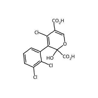 O=C(O)C1=COC(O)(C(=O)O)C(c2cccc(Cl)c2Cl)=C1Cl